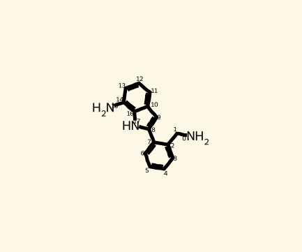 NCc1ccccc1-c1cc2cccc(N)c2[nH]1